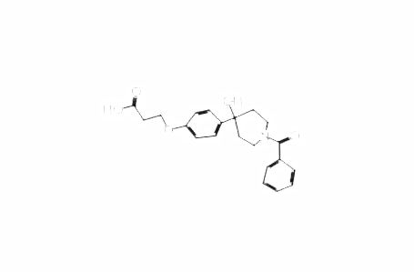 O=C(O)CCOc1ccc(C2(O)CCN(C(=O)c3ccccc3)CC2)cc1